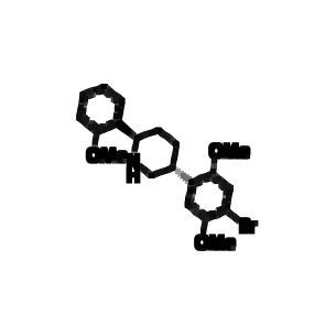 COc1cc([C@H]2CC[C@H](c3ccccc3OC)NC2)c(OC)cc1Br